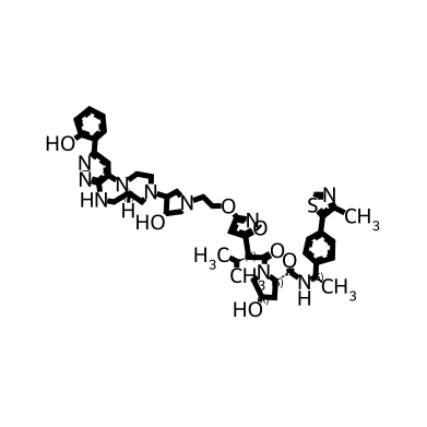 Cc1ncsc1-c1ccc([C@H](C)NC(=O)[C@@H]2C[C@@H](O)CN2C(=O)[C@@H](c2cc(OCCN3CC(O)C(N4CCN5c6cc(-c7ccccc7O)nnc6NC[C@H]5C4)C3)no2)C(C)C)cc1